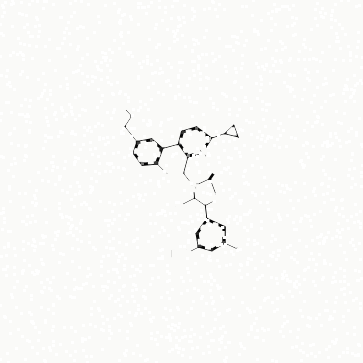 CC1C(c2cc(C(F)(F)F)cc(C(F)(F)F)c2)OC(=O)N1Cc1nc(C2CC2)ccc1-c1cc(CCO)ccc1F